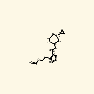 O=COCCc1[nH]ccc1NCC1CN(C2CC2)CCO1